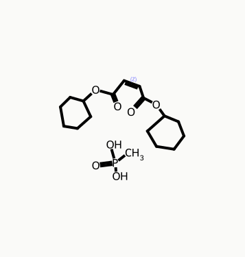 CP(=O)(O)O.O=C(/C=C\C(=O)OC1CCCCC1)OC1CCCCC1